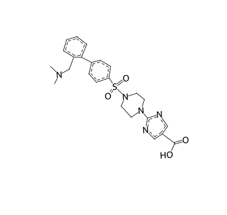 CN(C)Cc1ccccc1-c1ccc(S(=O)(=O)N2CCN(c3ncc(C(=O)O)cn3)CC2)cc1